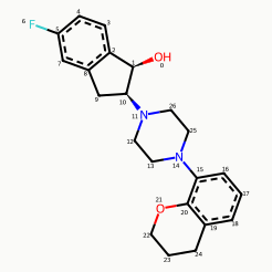 O[C@@H]1c2ccc(F)cc2C[C@@H]1N1CCN(c2cccc3c2OCCC3)CC1